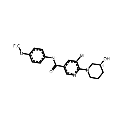 O=C(Nc1ccc(OC(F)(F)F)cc1)c1cnc(N2CCC[C@H](O)C2)c(Br)c1